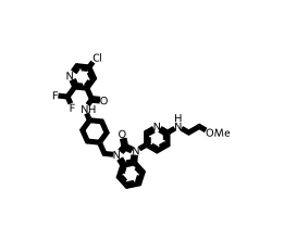 COCCNc1ccc(-n2c(=O)n(CC3CCC(NC(=O)c4cc(Cl)cnc4C(F)F)CC3)c3ccccc32)cn1